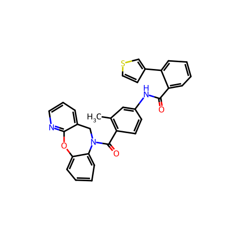 Cc1cc(NC(=O)c2ccccc2-c2ccsc2)ccc1C(=O)N1Cc2cccnc2Oc2ccccc21